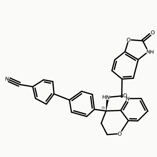 N#Cc1ccc(-c2ccc([C@@]3(NC(=O)c4ccc5oc(=O)[nH]c5c4)CCOc4cccnc43)cc2)cc1